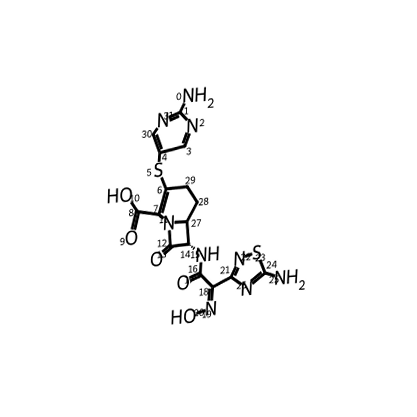 Nc1ncc(SC2=C(C(=O)O)N3C(=O)[C@@H](NC(=O)/C(=N\O)c4nsc(N)n4)C3CC2)cn1